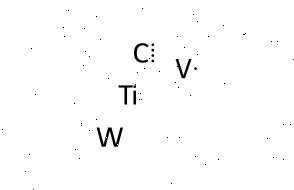 [C].[Ti].[V].[W]